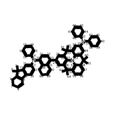 CC1(C)C2=C(C=CCC2)c2ccc(N(c3ccccc3)c3ccc(-c4cc5c6c(c4)C(C)(C)c4cc(N(c7ccccc7)c7ccccc7)cc7c4N6c4c(cccc4C7(C)C)C5(C)C)c4c3CCC=C4)cc21